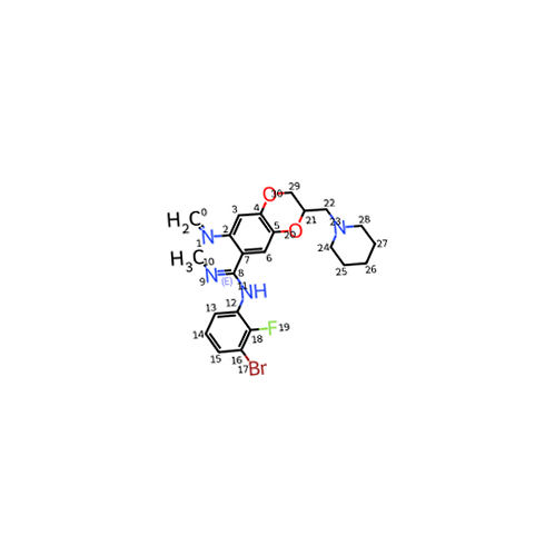 C=Nc1cc2c(cc1/C(=N\C)Nc1cccc(Br)c1F)OC(CN1CCCCC1)CO2